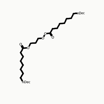 CCCCCCCCCCCCCCCCCC(=O)OCCCOOC(=O)CCCCCCCCCCCCCCCCC